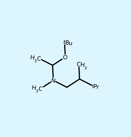 CC(C)C(C)CN(C)C(C)OC(C)(C)C